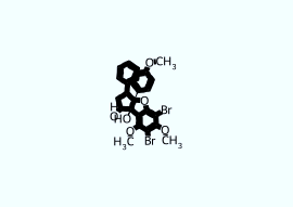 COc1ccc([C@]23Oc4c(Br)c(OC)c(Br)c(OC)c4[C@@]2(O)C(O)CC3c2ccccc2)cc1